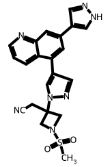 CS(=O)(=O)N1CC(CC#N)(n2cc(-c3cc(-c4cn[nH]c4)cc4ncccc34)cn2)C1